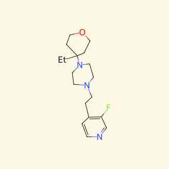 CCC1(N2CCN(CCc3ccncc3F)CC2)CCOCC1